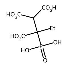 CCC(C(=O)O)(C(C(=O)O)C(=O)O)P(=O)(O)O